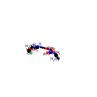 Cc1ncsc1-c1ccc([C@H](C)NC(=O)C2C[C@@H](OC(=O)C(C)C)CN2C(=O)[C@@H](NC(=O)COCCCCCNc2ccc(C(=O)N[C@H]3C(C)(C)[C@H](Oc4ccc(C#N)c(Cl)c4)C3(C)C)cc2)C(C)(C)C)cc1